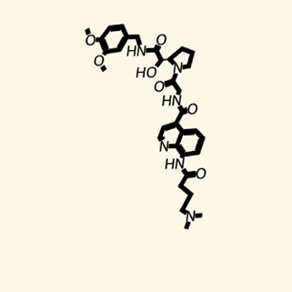 COc1ccc(CNC(=O)C(O)[C@@H]2CCCN2C(=O)CNC(=O)c2ccnc3c(NC(=O)CCCN(C)C)cccc23)cc1OC